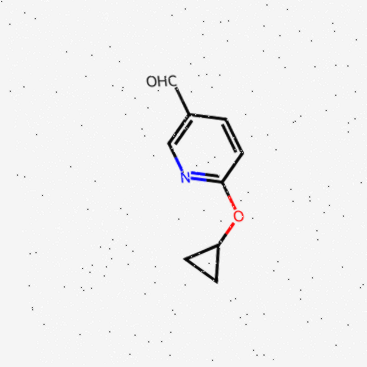 O=Cc1ccc(OC2CC2)nc1